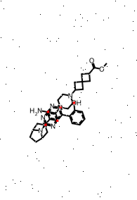 COC(=O)C1CC2(C1)CC(N1CCN(c3cnc(N4C5CCC4CN(c4cc(-c6ccccc6O)nnc4N)C5)nc3)CC1)C2